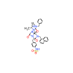 CC(C)N(C(=O)NCc1ccccc1)N1CC(=O)N2[C@@H](Cc3ccc(N[SH](=O)=O)cc3)C(=O)N(Cc3cccc4ccccc34)C[C@@H]21